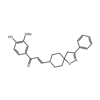 COc1cc(C(=O)C=CN2CCC3(CC2)CC(c2ccccc2)=NO3)ccc1O